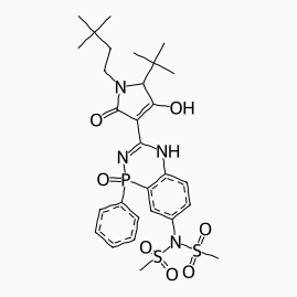 CC(C)(C)CCN1C(=O)C(C2=NP(=O)(c3ccccc3)c3cc(N(S(C)(=O)=O)S(C)(=O)=O)ccc3N2)=C(O)C1C(C)(C)C